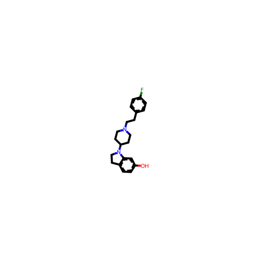 Oc1ccc2c(c1)N(C1CCN(CCc3ccc(F)cc3)CC1)CC2